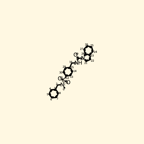 CN(Cc1ccccc1)S(=O)(=O)c1ccc(CNC(=O)n2ccc3ccccc32)cc1